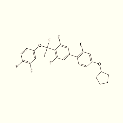 Fc1ccc(OC(F)(F)c2c(F)cc(-c3ccc(OC4CCCC4)cc3F)cc2F)cc1F